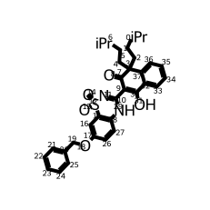 CC(C)CCC1(CCC(C)C)C(=O)C(C2=NS(=O)(=O)c3cc(OCc4ccccc4)ccc3N2)=C(O)c2ccccc21